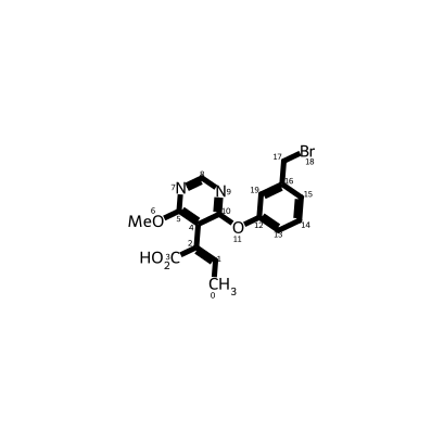 CC=C(C(=O)O)c1c(OC)ncnc1Oc1cccc(CBr)c1